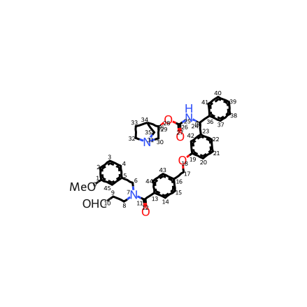 COc1cccc(CN(CCC=O)C(=O)c2ccc(COc3cccc([C@@H](NC(=O)O[C@H]4CN5CCC4C5)c4ccccc4)c3)cc2)c1